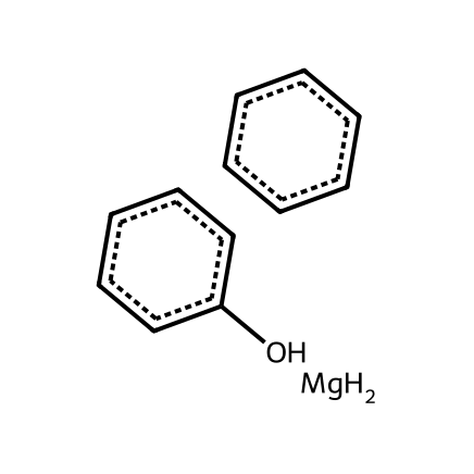 Oc1ccccc1.[MgH2].c1ccccc1